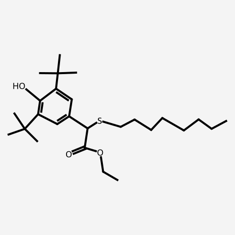 CCCCCCCCSC(C(=O)OCC)c1cc(C(C)(C)C)c(O)c(C(C)(C)C)c1